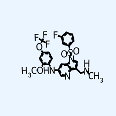 CNCc1cn(S(=O)(=O)c2cccc(F)c2)c2cc(Nc3ccc(OC(F)(F)F)cc3OC)cnc12